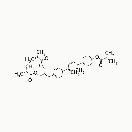 C=C(C)C(=O)OCC(COC(=O)C(=C)C)Cc1ccc(C(=C)/C=C\C(=C)C2=CC=C(OC(=O)C(=C)C)CC2)cc1